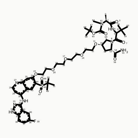 C[C@@H](C(=O)NC(C(=O)N1C[C@@H](OCCOCCOCCOCCOc2cc3nccc(Nc4n[nH]c5ccc(F)cc45)c3cc2S(=O)(=O)C(C)(C)C)C[C@H]1C(N)=O)C(C)(C)C)N(C)C(=O)OC(C)(C)C